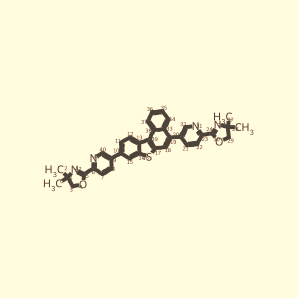 CC1(C)COC(c2ccc(-c3ccc4c(c3)sc3cc(-c5ccc(C6=NC(C)(C)CO6)nc5)c5ccccc5c34)cn2)=N1